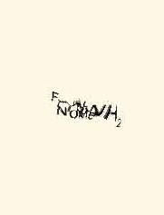 COc1ncc(F)cc1[C@H](C)n1cc(N)cn1